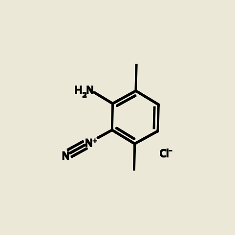 Cc1ccc(C)c([N+]#N)c1N.[Cl-]